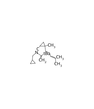 C=C(N(CC1CC1)CC1CC1(C)CCC=C(C)C)C(C)(C)C